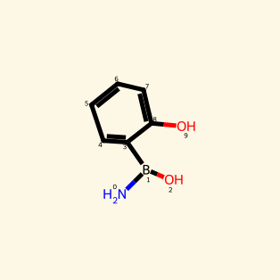 NB(O)c1ccccc1O